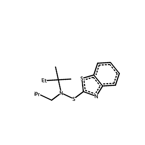 CCC(C)(C)N(CC(C)C)Sc1nc2ccccc2s1